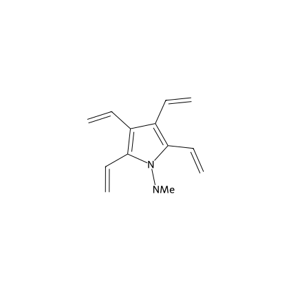 C=Cc1c(C=C)c(C=C)n(NC)c1C=C